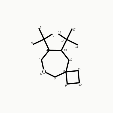 CC(C)(C)C1COCC2(CCC2)CC1C(C)(C)C